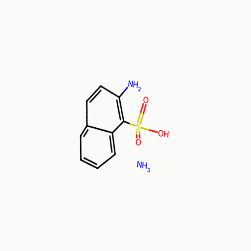 N.Nc1ccc2ccccc2c1S(=O)(=O)O